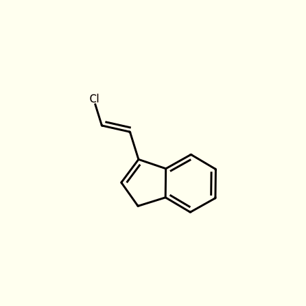 Cl/C=C/C1=CCc2ccccc21